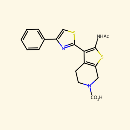 CC(=O)Nc1sc2c(c1-c1nc(-c3ccccc3)cs1)CCN(C(=O)O)C2